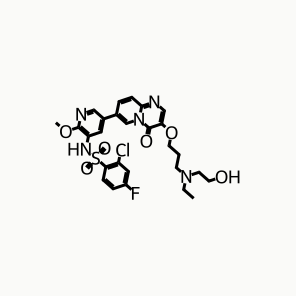 CCN(CCO)CCCOc1cnc2ccc(-c3cnc(OC)c(NS(=O)(=O)c4ccc(F)cc4Cl)c3)cn2c1=O